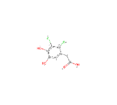 O=C(O)Cc1cc(O)c(O)c(Cl)c1Cl